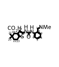 CNCc1ccccc1NC(=O)Nc1sc2c(c1C(=O)O)CC(C)(C)CC2